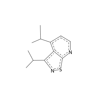 CC(C)c1ccnc2snc(C(C)C)c12